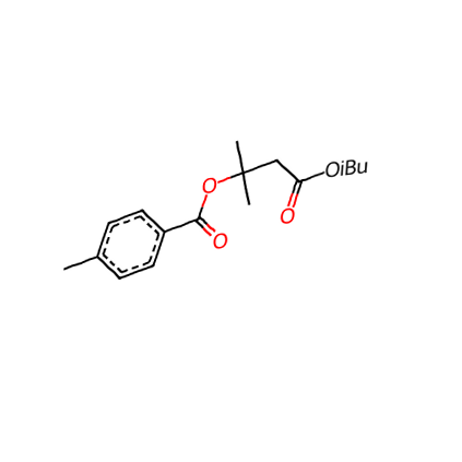 Cc1ccc(C(=O)OC(C)(C)CC(=O)OCC(C)C)cc1